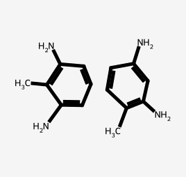 Cc1c(N)cccc1N.Cc1ccc(N)cc1N